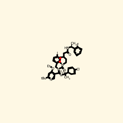 CCOc1cc(C(C)(C)C)ncc1/C(=N/C(C)(C)C1C=CC(Cl)=CC1)N(Cc1ccc(I)cc1)C(=O)N1CCC(CC(=O)N[C@@H](C)c2ccccc2F)CC1